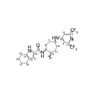 O=C(N[C@H]1CC[C@@H](Nc2cc(C(F)(F)F)nc(C(F)(F)F)c2)CCC1=S)c1cc2c([nH]1)CCCC2